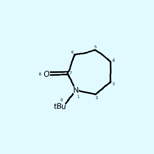 CC(C)(C)N1CCCCCC1=O